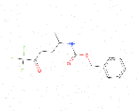 CC(CCC(=O)C(F)(F)F)NC(=O)OCc1ccccc1